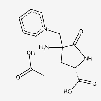 CC(=O)O.NC1(C[n+]2ccccc2)C[C@@H](C(=O)O)NC1=O